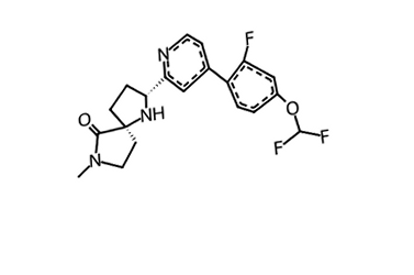 CN1CC[C@@]2(CC[C@H](c3cc(-c4ccc(OC(F)F)cc4F)ccn3)N2)C1=O